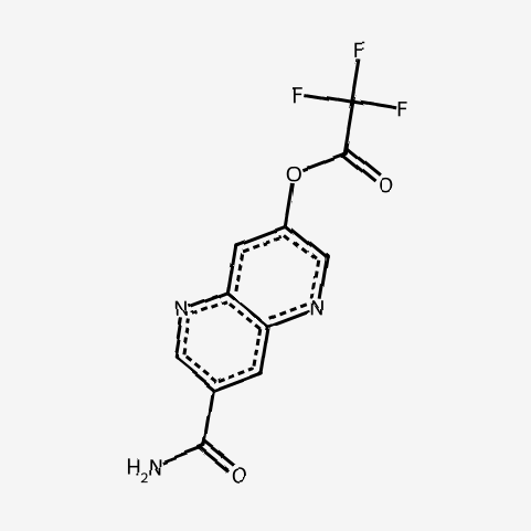 NC(=O)c1cnc2cc(OC(=O)C(F)(F)F)cnc2c1